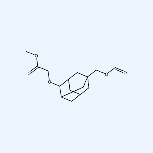 COC(=O)COC1C2CC3CC1CC(COC=O)(C3)C2